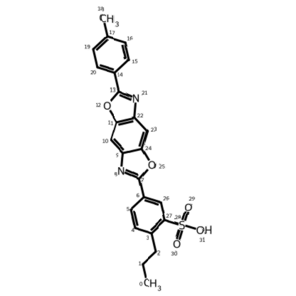 CCCc1ccc(-c2nc3cc4oc(-c5ccc(C)cc5)nc4cc3o2)cc1S(=O)(=O)O